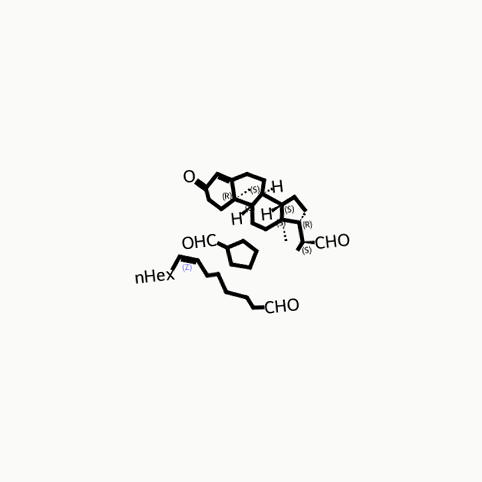 CCCCCC/C=C\CCCCCC=O.C[C@H](C=O)[C@H]1CC[C@H]2[C@@H]3CCC4=CC(=O)CC[C@]4(C)[C@H]3CC[C@]12C.O=CC1CCCC1